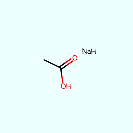 CC(=O)O.[NaH]